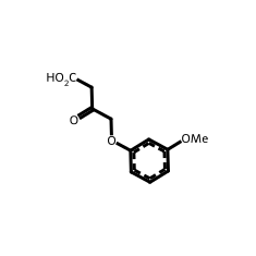 COc1cccc(OCC(=O)CC(=O)O)c1